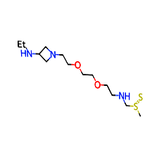 CCNC1CN(CCOCCOCCNCS(C)=S)C1